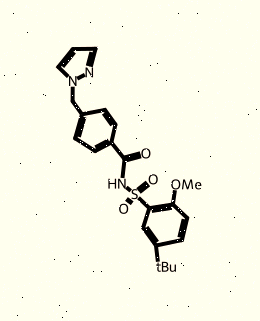 COc1ccc(C(C)(C)C)cc1S(=O)(=O)NC(=O)c1ccc(Cn2cccn2)cc1